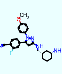 COc1ccc(-n2nc(NC[C@H]3CCC[C@@H](N)C3)cc2-c2ccc(C#N)c(F)c2)cc1